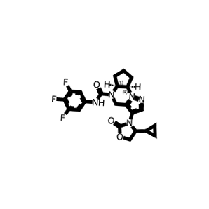 O=C1OCC(C2CC2)N1c1cnn2c1CN(C(=O)Nc1cc(F)c(F)c(F)c1)[C@H]1CCC[C@H]12